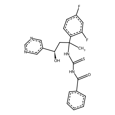 CC(C[C@@H](O)c1cncnc1)(NC(=S)NC(=O)c1ccccc1)c1ccc(F)cc1F